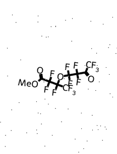 COC(=O)C(F)(F)C(F)(OC(F)(F)C(F)(F)C(=O)C(F)(F)F)C(F)(F)F